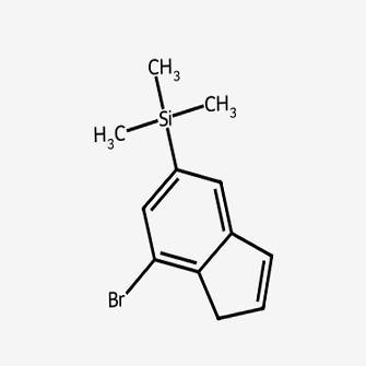 C[Si](C)(C)c1cc(Br)c2c(c1)C=CC2